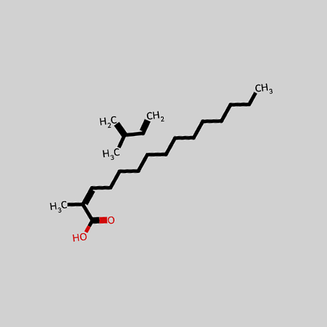 C=CC(=C)C.CCCCCCCCCCCCC=C(C)C(=O)O